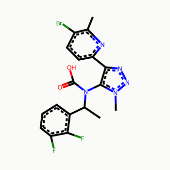 Cc1nc(-c2nnn(C)c2N(C(=O)O)C(C)c2cccc(F)c2F)ccc1Br